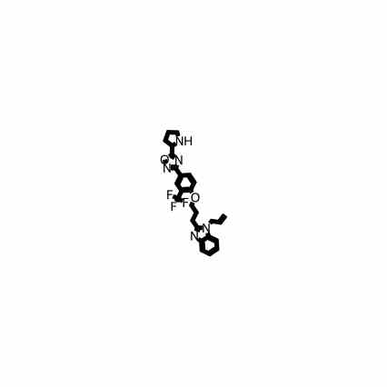 C=CCn1c(CCCOc2ccc(-c3noc(C4CCCN4)n3)cc2C(F)(F)F)nc2ccccc21